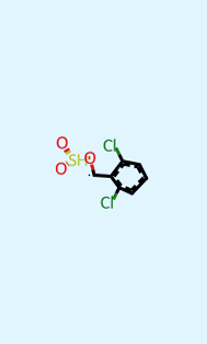 O=[SH](=O)O[CH]c1c(Cl)cccc1Cl